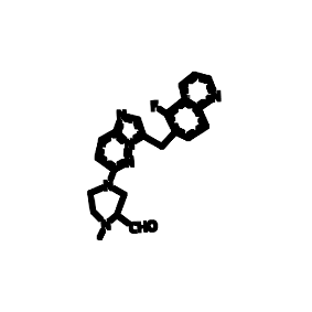 CN1CCN(c2ccc3ncc(Cc4ccc5ncccc5c4F)n3n2)CC1C=O